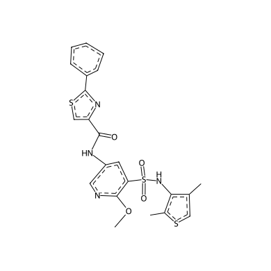 COc1ncc(NC(=O)c2csc(-c3ccccc3)n2)cc1S(=O)(=O)Nc1c(C)csc1C